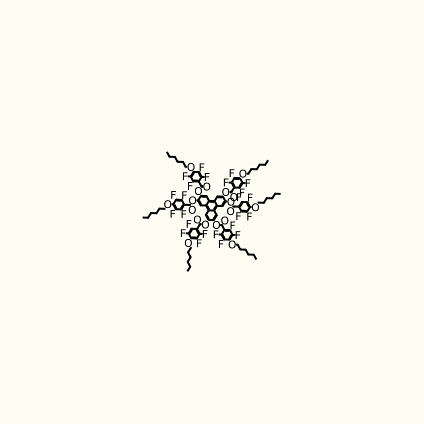 CCCCCCOc1c(F)c(F)c(C(=O)Oc2cc3c4cc(OC(=O)c5c(F)c(F)c(OCCCCCC)c(F)c5F)c(OC(=O)c5c(F)c(F)c(OCCCCCC)c(F)c5F)cc4c4cc(OC(=O)c5c(F)c(F)c(OCCCCCC)c(F)c5F)c(OC(=O)c5c(F)c(F)c(OCCCCCC)c(F)c5F)cc4c3cc2OC(=O)c2c(F)c(F)c(OCCCCCC)c(F)c2F)c(F)c1F